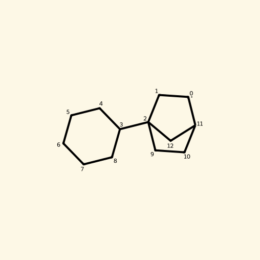 [CH]1CC2(C3CCCCC3)CCC1C2